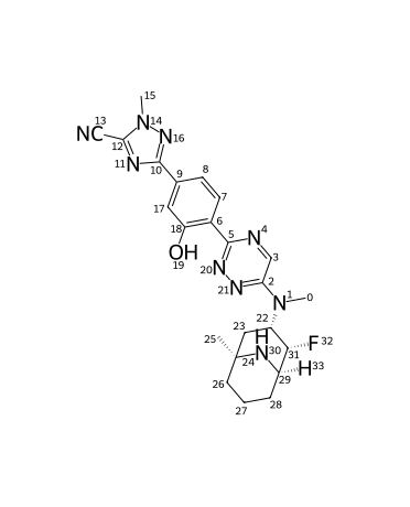 CN(c1cnc(-c2ccc(-c3nc(C#N)n(C)n3)cc2O)nn1)[C@H]1C[C@]2(C)CCC[C@@H](N2)[C@H]1F